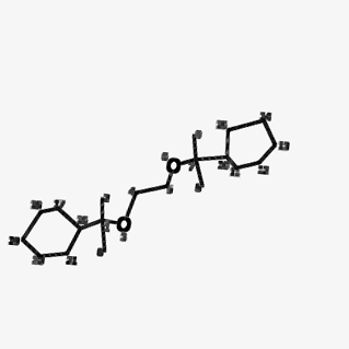 CC(C)(OCCOC(C)(C)C1CCCCC1)C1CCCCC1